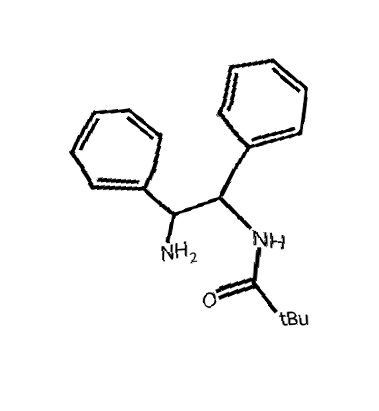 CC(C)(C)C(=O)NC(c1ccccc1)C(N)c1ccccc1